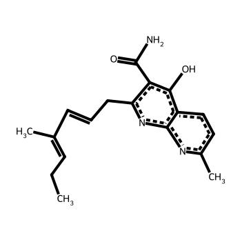 CCC=C(C)C=CCc1nc2nc(C)ccc2c(O)c1C(N)=O